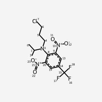 CC(C)N(CCCCl)c1c([N+](=O)[O-])cc(C(F)(F)F)cc1[N+](=O)[O-]